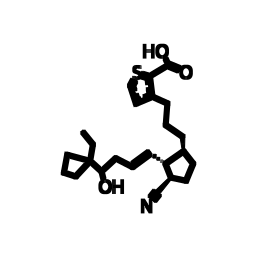 CCC1(C(O)CC=C[C@@H]2[C@@H](CCCc3ccsc3C(=O)O)CC[C@H]2C#N)CCC1